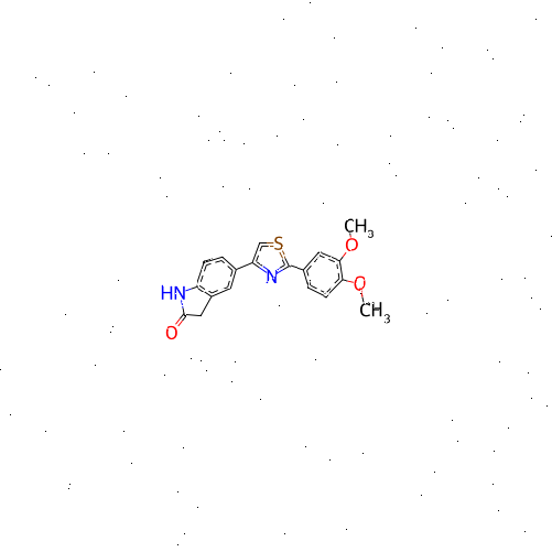 COc1ccc(-c2nc(-c3ccc4c(c3)CC(=O)N4)cs2)cc1OC